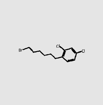 Clc1ccc(CCCCCCBr)c(Cl)c1